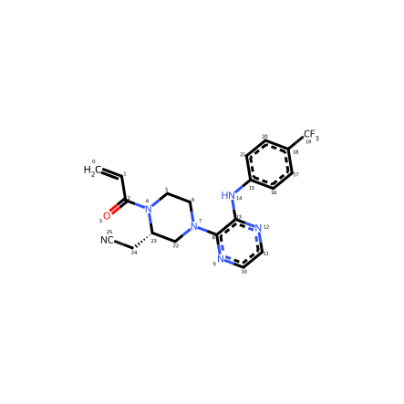 C=CC(=O)N1CCN(c2nccnc2Nc2ccc(C(F)(F)F)cc2)C[C@@H]1CC#N